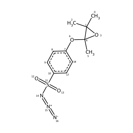 CC1(C)OC1(C)Oc1ccc(S(=O)(=O)N=[N+]=[N-])cc1